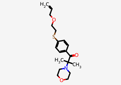 C=CCOCCSc1ccc(C(=O)C(C)(C)N2CCOCC2)cc1